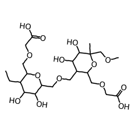 CCC1C(COCC(=O)O)OC(COCC2C(COCC(=O)O)OC(C)(COC)C(O)C2O)C(O)C1O